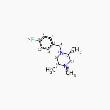 C[C@@H]1CN(Cc2ccc(F)cc2)[C@@H](C)CN1C